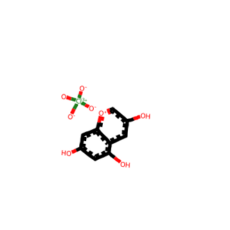 Oc1cc(O)c2cc(O)c[o+]c2c1.[O-][Cl+3]([O-])([O-])[O-]